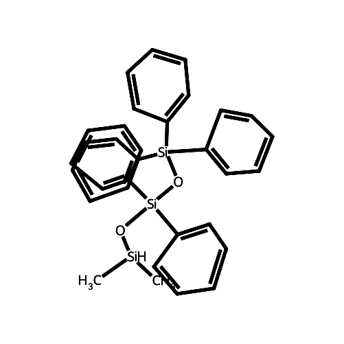 C[SiH](C)O[Si](O[Si](c1ccccc1)(c1ccccc1)c1ccccc1)(c1ccccc1)c1ccccc1